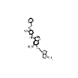 CN1CCC2C1CCN2CCOc1cc2ncnc(Nc3ccc(OCc4ccccn4)c(Cl)c3)c2cc1N